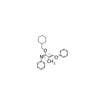 CC(=C\Oc1ccccc1)/C(=N\c1ccccc1)OCC1CCCCC1